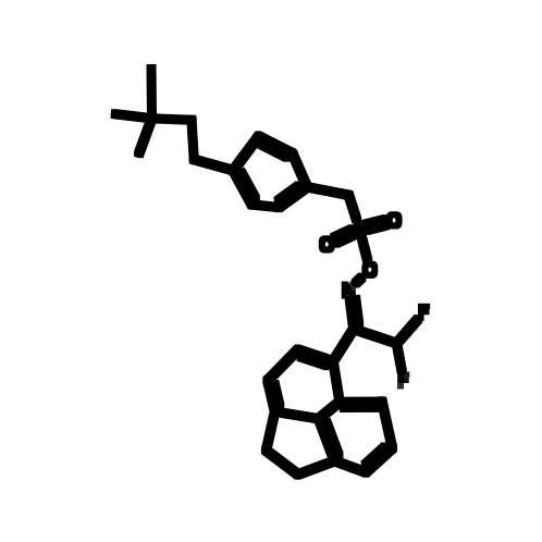 CC(C)(C)CCc1ccc(CS(=O)(=O)O/N=C(/c2ccc3c4c(cccc24)CC3)C(F)F)cc1